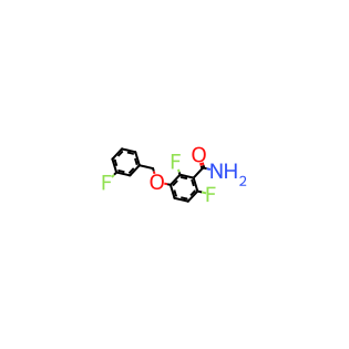 NC(=O)c1c(F)ccc(OCc2cccc(F)c2)c1F